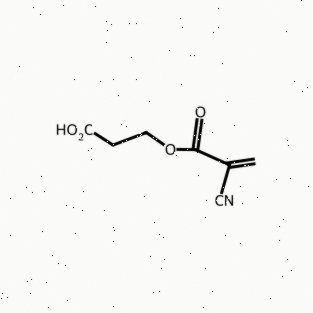 C=C(C#N)C(=O)OCCC(=O)O